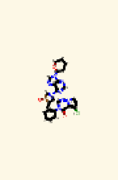 CC1[C@@H](c2nn3ccc(Cl)c3c(=O)n2-c2ccccc2)N(c2ncnc3c2ncn3C2CCCCO2)C[S+]1[O-]